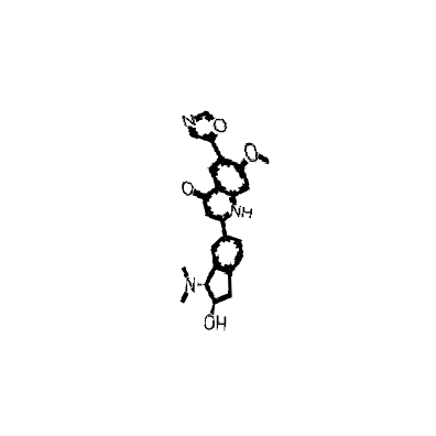 COc1cc2[nH]c(-c3ccc4c(c3)[C@@H](N(C)C)[C@H](O)C4)cc(=O)c2cc1-c1cnco1